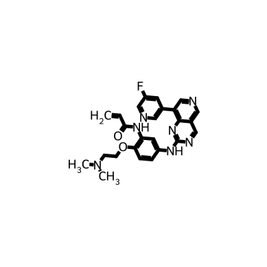 C=CC(=O)Nc1cc(Nc2ncc3cncc(-c4cncc(F)c4)c3n2)ccc1OCCN(C)C